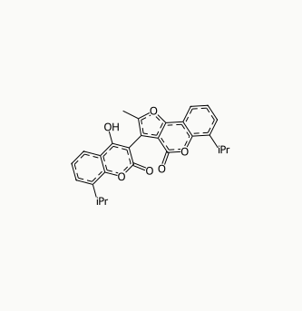 Cc1oc2c(c1-c1c(O)c3cccc(C(C)C)c3oc1=O)c(=O)oc1c(C(C)C)cccc12